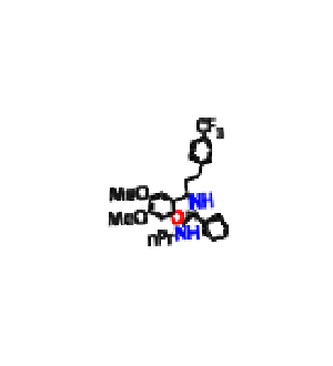 CCCNC(=O)[C@H](NC(CCc1ccc(C(F)(F)F)cc1)c1ccc(OC)c(OC)c1)c1ccccc1